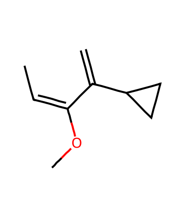 C=C(/C(=C\C)OC)C1CC1